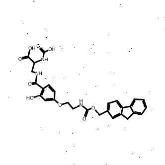 O=C(O)NC(CNC(=O)c1ccc(OCCNC(=O)OCc2ccc3c(c2)Cc2ccccc2-3)cc1O)C(=O)O